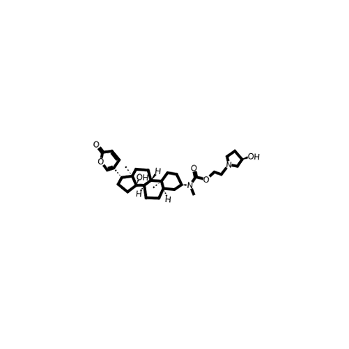 CN(C(=O)OCCN1CC[C@@H](O)C1)[C@H]1CC[C@@]2(C)[C@H](CC[C@@H]3[C@@H]2CC[C@]2(C)[C@@H](c4ccc(=O)oc4)CC[C@]32O)C1